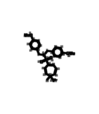 COc1ccc(CN(Cc2ccc(OC)cc2)S(=O)(=O)C2=CC=CC(C)(C(C)C)C=C2)cc1